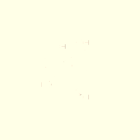 Oc1ccc(O)cc1.Oc1ccc2cc(O)ccc2c1